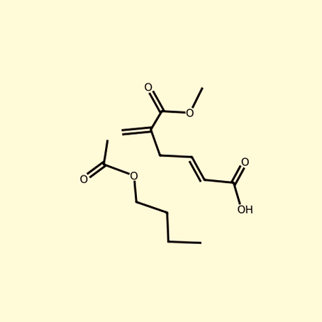 C=C(CC=CC(=O)O)C(=O)OC.CCCCOC(C)=O